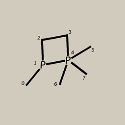 CP1CCP1(C)(C)C